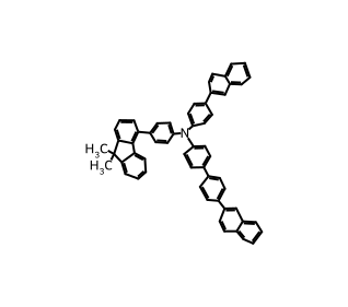 CC1(C)c2ccccc2-c2c(-c3ccc(N(c4ccc(-c5ccc(-c6ccc7ccccc7c6)cc5)cc4)c4ccc(-c5ccc6ccccc6c5)cc4)cc3)cccc21